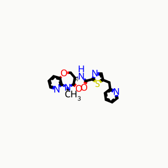 CN1C(=O)[C@@H](NC(=O)c2ncc(Cc3ccccn3)s2)COc2cccnc21